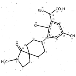 CN1CCC2(CCN(c3cc(C#N)cc(N(C(=O)O)C(C)(C)C)c3Cl)CC2)C1=O